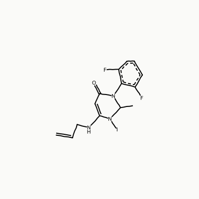 C=CCNC1=CC(=O)N(c2c(F)cccc2F)C(C)N1I